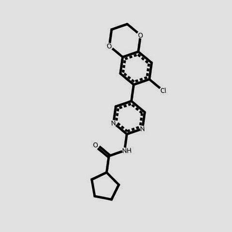 O=C(Nc1ncc(-c2cc3c(cc2Cl)OCCO3)cn1)C1CCCC1